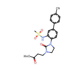 COC(=O)CCN1CCN(c2ccc(-c3ccc(C#N)cc3)cc2NS(C)(=O)=O)C1=O